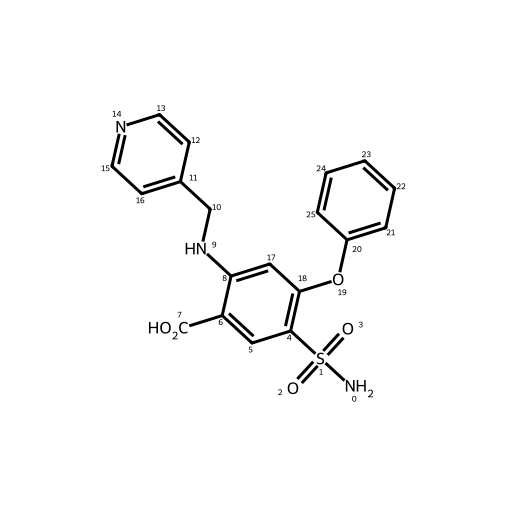 NS(=O)(=O)c1cc(C(=O)O)c(NCc2ccncc2)cc1Oc1ccccc1